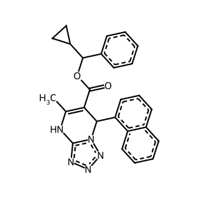 CC1=C(C(=O)OC(c2ccccc2)C2CC2)C(c2cccc3ccccc23)n2nnnc2N1